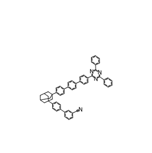 N#Cc1cccc(-c2ccc(C34CC5CC(CC(c6ccc(-c7ccc(-c8ccc(-c9nc(-c%10ccccc%10)nc(-c%10ccccc%10)n9)cc8)cc7)cc6)(C5)C3)C4)cc2)c1